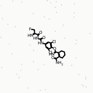 N=C(CF)C(=O)NC(=O)Nc1cc(Cl)c(OC(=N)C2=C(C(N)=O)CCCC2)c(Cl)c1